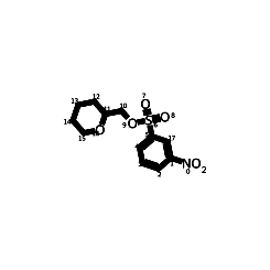 O=[N+]([O-])c1cccc(S(=O)(=O)OCC2CCCCO2)c1